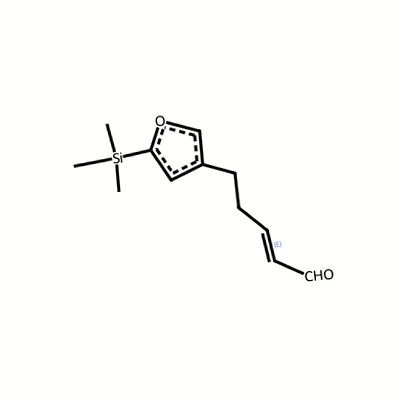 C[Si](C)(C)c1cc(CC/C=C/C=O)co1